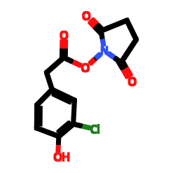 O=C(Cc1ccc(O)c(Cl)c1)ON1C(=O)CCC1=O